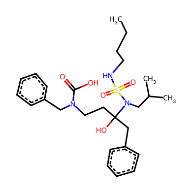 CCCCNS(=O)(=O)N(CC(C)C)C(O)(CCN(Cc1ccccc1)C(=O)O)Cc1ccccc1